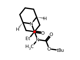 CCC(=O)N1[C@@H]2CCC[C@H]1CC(N(C)C(=O)OC(C)(C)C)C2